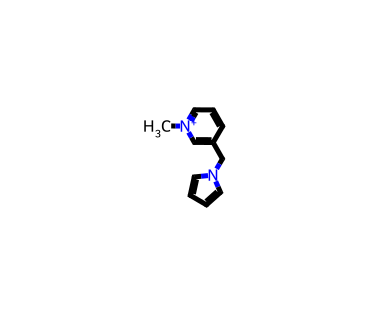 C[n+]1cccc(Cn2cccc2)c1